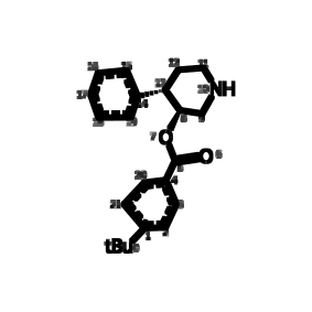 CC(C)(C)c1ccc(C(=O)O[C@@H]2CNCC[C@H]2c2ccccc2)cc1